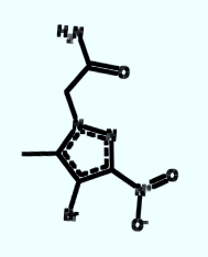 Cc1c(Br)c([N+](=O)[O-])nn1CC(N)=O